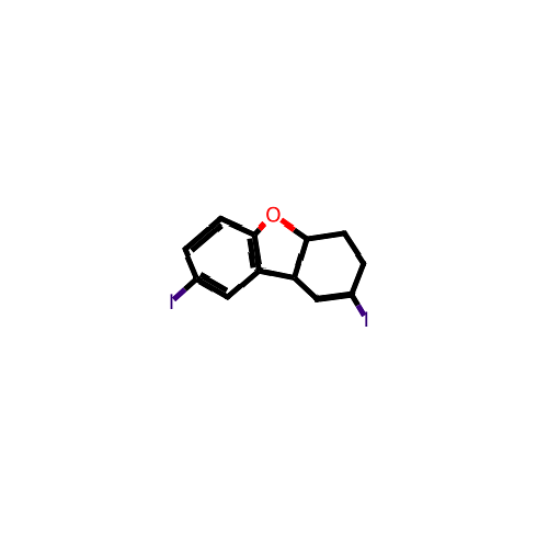 Ic1ccc2c(c1)C1CC(I)CCC1O2